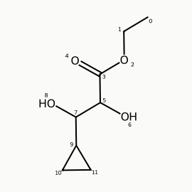 CCOC(=O)C(O)C(O)C1CC1